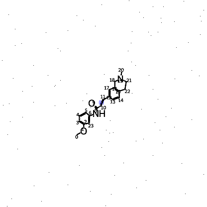 COc1cccc(NC(=O)/C=C/c2ccc3c(c2)CN(C)CC3)c1